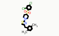 Cc1ccc(C)c(Cc2csc(N3CCC(S(=O)(=O)c4ccc(Cl)cc4Cl)CC3)n2)c1